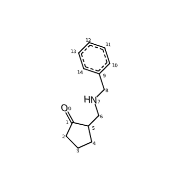 O=C1CCCC1CNCc1ccccc1